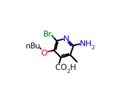 CCCCOc1c(Br)nc(N)c(C)c1C(=O)O